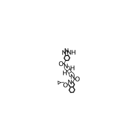 O=C(c1ccc2[nH]nnc2c1)N1C[C@@H]2C3CN(C(=O)c4cc5ccccc5c(OCC5CC5)n4)CC3[C@@H]2C1